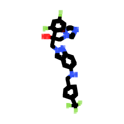 OC(Cn1cncn1)(Cn1cc2cc(NCc3ccc(C(F)(F)F)cc3)ccc2n1)c1ccc(F)cc1F